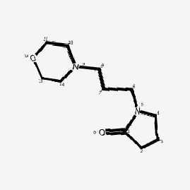 O=C1CCCN1CCCN1CCOCC1